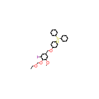 CCOCOc1c(I)cc(COc2ccc([SH](c3ccccc3)c3ccccc3)cc2)cc1OC